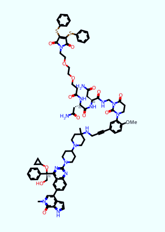 COc1ccc(C#CCNC2(C)CCN(C3CCN(c4nc([C@@](CO)(OC5CC5)c5ccccc5)c5cc(-c6cn(C)c(=O)c7[nH]ccc67)ccc5n4)CC3)CC2)cc1N1CCC(=O)N(CNC(=O)[C@H](CC(N)=O)NC(=O)[C@H](CC(N)=O)NC(=O)CCOCCOCCN2C(=O)C(Sc3ccccc3)=C(Sc3ccccc3)C2=O)C1=O